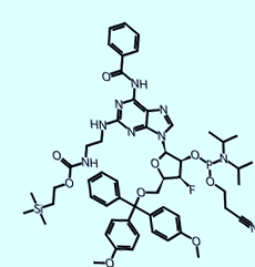 COc1ccc(C(OC[C@H]2O[C@@H](n3cnc4c(NC(=O)c5ccccc5)nc(NCCNC(=O)OCC[Si](C)(C)C)nc43)[C@@H](OP(OCCC#N)N(C(C)C)C(C)C)[C@H]2F)(c2ccccc2)c2ccc(OC)cc2)cc1